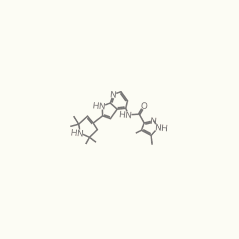 Cc1[nH]nc(C(=O)Nc2ccnc3[nH]c(C4=CC(C)(C)NC(C)(C)C4)cc23)c1C